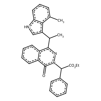 CCOC(=O)C(c1ccccc1)n1nc(C(C)c2c[nH]c3cccc(C)c23)c2ccccc2c1=O